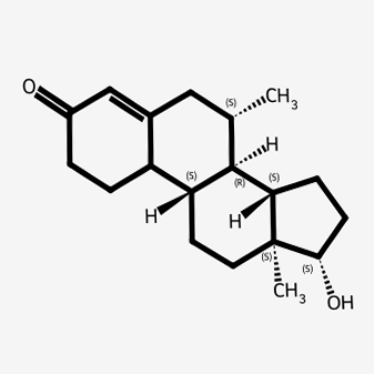 C[C@H]1CC2=CC(=O)CCC2[C@H]2CC[C@]3(C)[C@@H](O)CC[C@H]3[C@@H]21